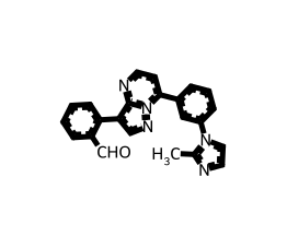 Cc1nccn1-c1cccc(-c2ccnc3c(-c4ccccc4C=O)cnn23)c1